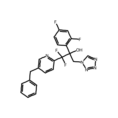 OC(Cn1cnnn1)(c1ccc(F)cc1F)C(F)(F)c1ccc(Cc2ccccc2)cn1